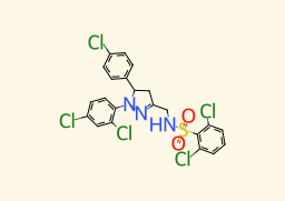 O=S(=O)(NCC1=NN(c2ccc(Cl)cc2Cl)C(c2ccc(Cl)cc2)C1)c1c(Cl)cccc1Cl